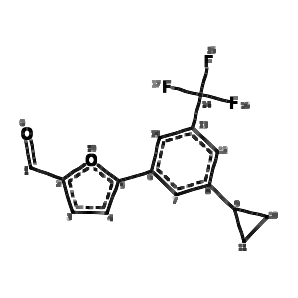 O=[C]c1ccc(-c2cc(C3CC3)cc(C(F)(F)F)c2)o1